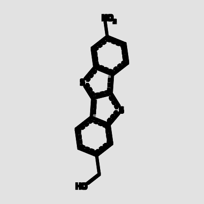 O=[N+]([O-])c1ccc2c(c1)sc1c3ccc(CO)cc3sc21